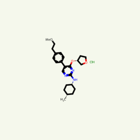 COCCc1ccc(-c2cnc(N[C@H]3CC[C@@H](C)CC3)nc2O[C@@H]2CCOC2)cc1.Cl